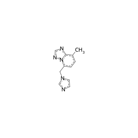 Cc1ccc(Cn2ccnc2)n2ncnc12